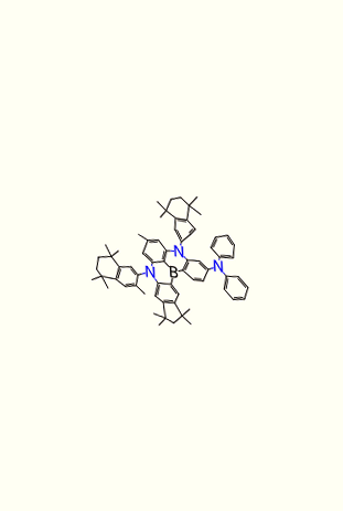 Cc1cc2c3c(c1)N(c1cc4c(cc1C)C(C)(C)CCC4(C)C)c1cc4c(cc1B3c1ccc(N(c3ccccc3)c3ccccc3)cc1N2c1ccc2c(c1)C(C)(C)CCC2(C)C)C(C)(C)CC4(C)C